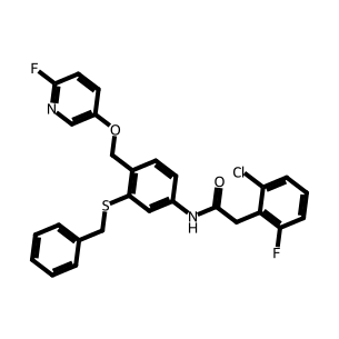 O=C(Cc1c(F)cccc1Cl)Nc1ccc(COc2ccc(F)nc2)c(SCc2ccccc2)c1